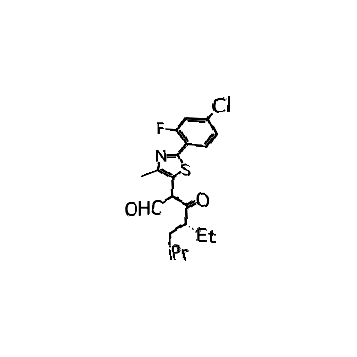 CC[C@H](CC(C)C)C(=O)C(C=O)c1sc(-c2ccc(Cl)cc2F)nc1C